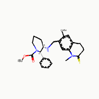 COc1cc2c(cc1CN[C@H]1CCCN(C(=O)OC(C)(C)C)[C@H]1c1ccccc1)N(C)C(=S)CC2